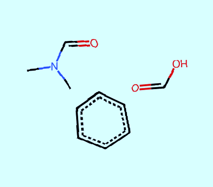 CN(C)C=O.O=CO.c1ccccc1